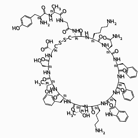 C[C@H](NC(=O)[C@@H](N)Cc1ccc(O)cc1)C(=O)NCC(=O)N[C@H]1CSSC[C@@H](C(=O)O)NC(=O)[C@H](CO)NC(=O)[C@H]([C@@H](C)O)NC(=O)[C@H](Cc2ccccc2)NC(=O)[C@H]([C@@H](C)O)NC(=O)[C@H](CCCCN)NC(=O)[C@H](Cc2c[nH]c3ccccc23)NC(=O)[C@H](Cc2ccccc2)NC(=O)[C@H](Cc2ccccc2)NC(=O)[C@H](CC(N)=O)NC(=O)[C@H](CCCCN)NC1=O